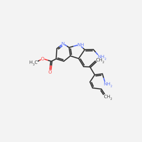 C=C/C=C\C(=C/N)C(=C)/C=c1\c(=C/N)[nH]c2ncc(C(=O)OC)cc12